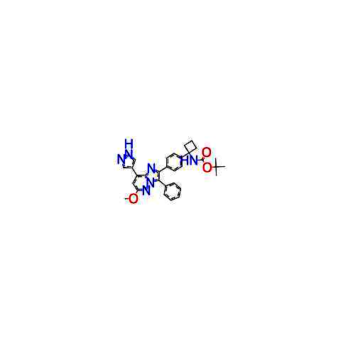 COc1cc(-c2cn[nH]c2)c2nc(-c3ccc(C4(NC(=O)OC(C)(C)C)CCC4)cc3)c(-c3ccccc3)n2n1